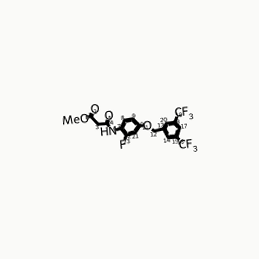 COC(=O)CC(=O)Nc1ccc(OCc2cc(C(F)(F)F)cc(C(F)(F)F)c2)cc1F